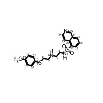 O=S(=O)(NCCNCCSc1ccc(C(F)(F)F)cc1)c1cccc2cnccc12